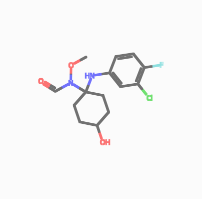 CON(C=O)C1(Nc2ccc(F)c(Cl)c2)CCC(O)CC1